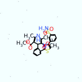 COC(=O)C1=C(C)NC(C)=C(C(=O)OC)C1c1ccccc1-c1nc(-c2cccc(S(N)(=O)=O)c2)cs1